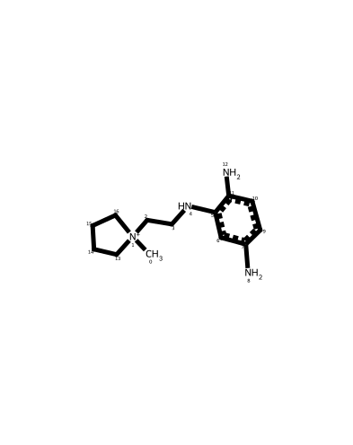 C[N+]1(CCNc2cc(N)ccc2N)CCCC1